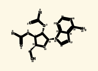 CCC(=O)O[C@H]1[C@H](OC(=O)CC)[C@@H](CO)O[C@H]1n1cnc2c(N)ncnc21